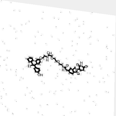 CC/C(=C(\c1ccc(O)cc1)c1ccc(OCCN[C@H](C)COCCOCCNC(=O)Cc2ccc3c(c2)CN(C2CCC(=O)NC2=O)C3=O)cc1)c1ccccc1